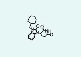 O=C1CCC(n2c(=O)n(CC3CCCCCC3)c3ccccc32)C(=O)N1